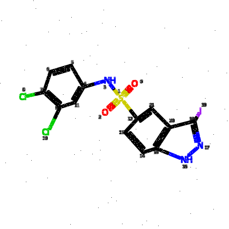 O=S(=O)(Nc1ccc(Cl)c(Cl)c1)c1ccc2[nH]nc(I)c2c1